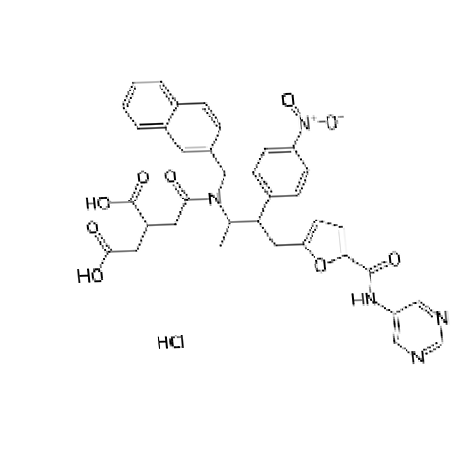 CC(C(Cc1ccc(C(=O)Nc2cncnc2)o1)c1ccc([N+](=O)[O-])cc1)N(Cc1ccc2ccccc2c1)C(=O)CC(CC(=O)O)C(=O)O.Cl